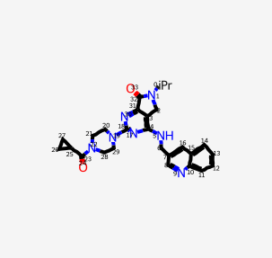 CC(C)N1Cc2c(NCc3cnc4ccccc4c3)nc(N3CCN(C(=O)C4CC4)CC3)nc2C1=O